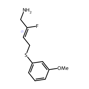 COc1cccc(SC/C=C(\F)CN)c1